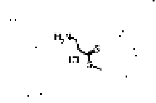 CSC(=S)CCN.Cl